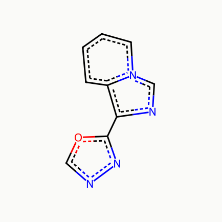 c1ccn2cnc(-c3nnco3)c2c1